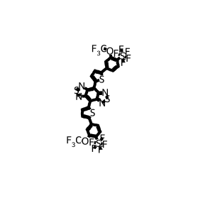 FC(F)(F)Oc1cc(-c2ccc(-c3c4c(c(-c5ccc(-c6ccc(S(F)(F)(F)(F)F)c(OC(F)(F)F)c6)s5)c5nsnc35)N=S=N4)s2)ccc1S(F)(F)(F)(F)F